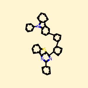 c1ccc(-c2nc(-c3cccc(-c4cccc(-c5ccc6c(c5)c5ccccc5n6-c5ccccc5)c4)c3)c3sc4ccccc4c3n2)cc1